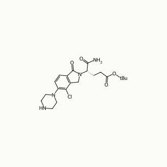 CC(C)(C)OC(=O)CC[C@@H](C(N)=O)N1Cc2c(ccc(N3CCNCC3)c2Cl)C1=O